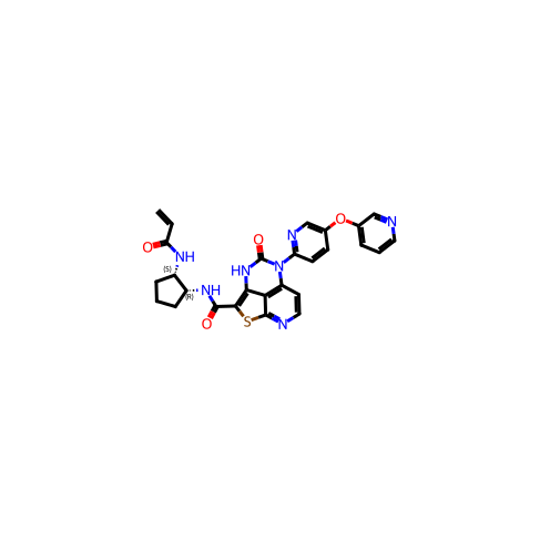 C=CC(=O)N[C@H]1CCC[C@H]1NC(=O)c1sc2nccc3c2c1NC(=O)N3c1ccc(Oc2cccnc2)cn1